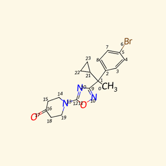 CC(c1ccc(Br)cc1)(c1noc(N2CCC(=O)CC2)n1)C1CC1